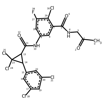 CC(=O)CNC(=O)c1cc(NC(=O)C2C(c3cc(Cl)cc(Cl)c3)C2(Cl)Cl)cc(F)c1Cl